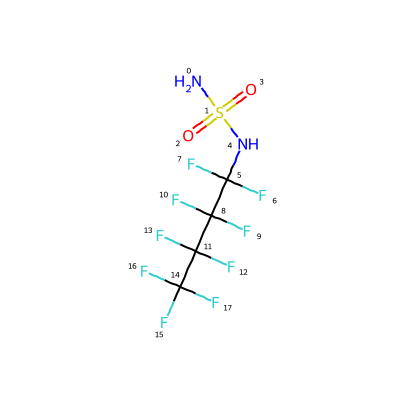 NS(=O)(=O)NC(F)(F)C(F)(F)C(F)(F)C(F)(F)F